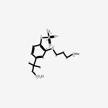 CCOC(=O)CC(C)(C)c1ccc(OS(=O)(=O)C(F)(F)F)c(OCCCOC)c1